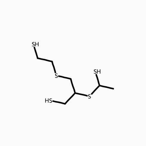 CC(S)SC(CS)CSCCS